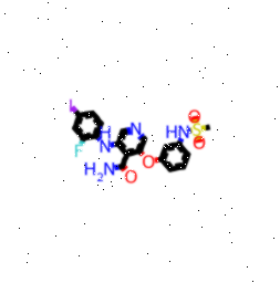 CS(=O)(=O)Nc1cccc(Oc2cncc(Nc3ccc(I)cc3F)c2C(N)=O)c1